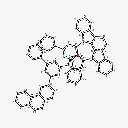 c1ccc(-c2nc(-c3ccc(-n4c5ccccc5c5ccc6c7ccccc7n(-c7nc(-c8ccccc8)nc(-c8ccccc8)n7)c6c54)cc3)nc(-c3ccc4ccc5ccccc5c4c3)n2)cc1